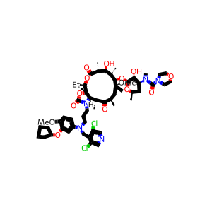 CC[C@H]1OC(=O)[C@H](C)[C@@H](O)[C@H](C)[C@@H](O[C@@H]2O[C@H](C)C[C@H](N(C)C(=O)N3CCOCC3)[C@H]2O)[C@](C)(OC)C[C@@H](C)C(=O)[C@H](C)[C@H]2N(CCCN(Cc3c(Cl)cncc3Cl)c3ccc(OC)c(OC4CCCC4)c3)C(=O)O[C@]12C